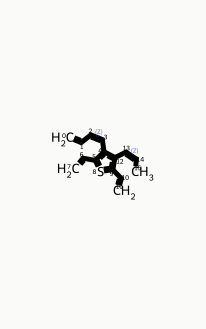 C=C/C=C\c1c(C=C)sc(C=C)c1/C=C\C